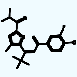 C=C(/C=C(\c1oc(C(=O)C(C)C)cc1C)C(C)(C)C)c1ccc(Cl)c(F)c1